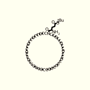 CC(C)(C)OC(=O)CC[C@H](N)C(=O)N1CCOCCOCCOCCOCCOCCOCCOCCOCCOCCOCCOCCOCCOCC1